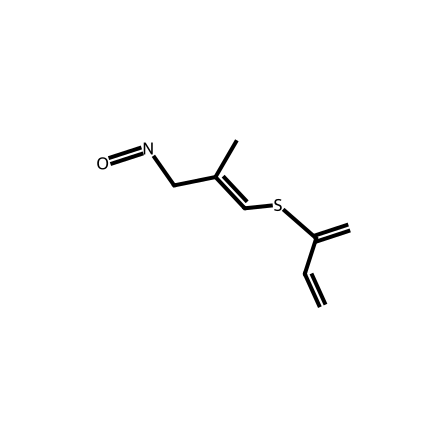 C=CC(=C)S/C=C(\C)CN=O